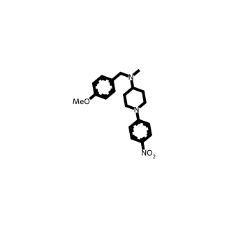 COc1ccc(CN(C)C2CCN(c3ccc([N+](=O)[O-])cc3)CC2)cc1